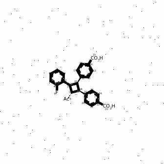 CC(=O)[C@@H]1C(c2ccccc2F)[C@@H](c2ccc(C(=O)O)cc2)[C@H]1c1ccc(C(=O)O)cc1